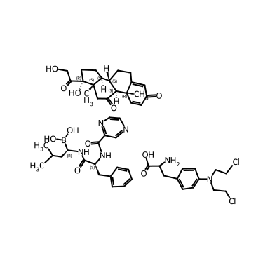 CC(C)C[C@H](NC(=O)[C@H](Cc1ccccc1)NC(=O)c1cnccn1)B(O)O.C[C@]12C=CC(=O)C=C1CC[C@@H]1[C@@H]2C(=O)C[C@@]2(C)[C@H]1CC[C@]2(O)C(=O)CO.NC(Cc1ccc(N(CCCl)CCCl)cc1)C(=O)O